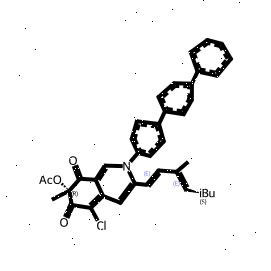 CC[C@H](C)/C=C(C)/C=C/C1=CC2=C(Cl)C(=O)[C@](C)(OC(C)=O)C(=O)C2=CN1c1ccc(-c2ccc(-c3ccccc3)cc2)cc1